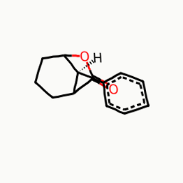 O=C1OC2CCCC1[C@@H]2c1ccccc1